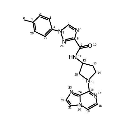 Cc1ccc(-n2cnc(C(=O)NC3CCN(c4nccn5ccnc45)C3)n2)cc1